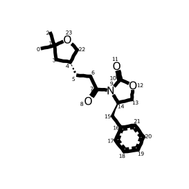 CC1(C)C[C@@H](CCC(=O)N2C(=O)OC[C@H]2Cc2ccccc2)CO1